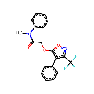 CN(C(=O)COc1onc(C(F)(F)F)c1-c1ccccc1)c1ccccc1